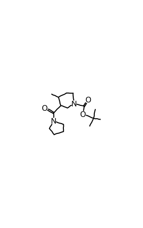 CC1CCN(C(=O)OC(C)(C)C)CC1C(=O)N1CCCC1